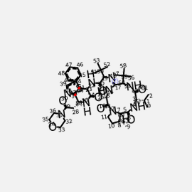 CC(C)[C@@H]1NC(=O)[C@@H]2[C@H](C)CCN2C(=O)CN/C(=N\C(C(=O)NC(C(=O)N[C@H](CC(=O)N2CCOCC2)c2nccs2)[C@@H](C)c2ccccc2)C(C)(C)C)C(C(C)(C)C)NC1=O